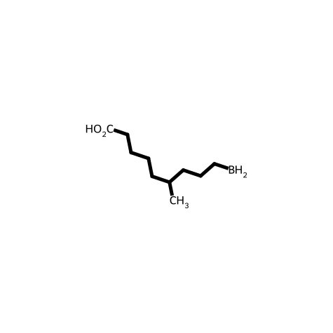 BCCCC(C)CCCCC(=O)O